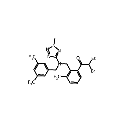 CCC(Br)C(=O)c1cccc(C(F)(F)F)c1CN(Cc1cc(C(F)(F)F)cc(C(F)(F)F)c1)c1nnn(C)n1